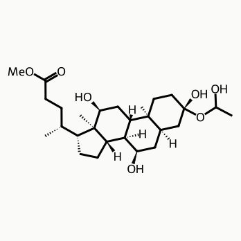 COC(=O)CC[C@@H](C)[C@H]1CC[C@H]2[C@@H]3[C@H](O)C[C@@H]4C[C@@](O)(OC(C)O)CC[C@]4(C)[C@H]3C[C@H](O)[C@]12C